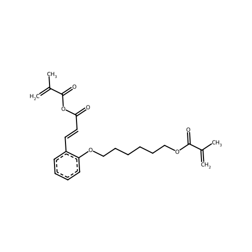 C=C(C)C(=O)OCCCCCCOc1ccccc1C=CC(=O)OC(=O)C(=C)C